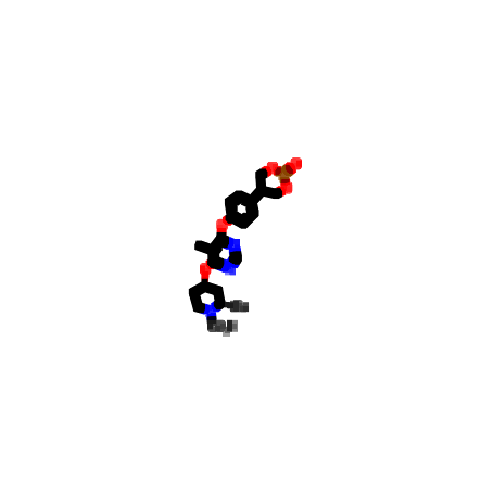 Cc1c(Oc2ccc(C3COS(=O)OC3)cc2)ncnc1O[C@@H]1CCN(C(=O)O)[C@@H](C(C)(C)C)C1